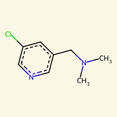 CN(C)Cc1cncc(Cl)c1